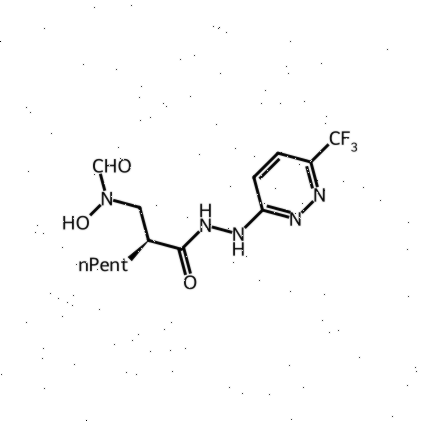 CCCCC[C@@H](CN(O)C=O)C(=O)NNc1ccc(C(F)(F)F)nn1